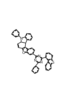 C1=CC2C(c3ccccc3N2c2ccccc2)c2c1oc1cc(-c3nc(-c4ccccc4)nc(-c4cccc5sc6ccccc6c45)n3)ccc21